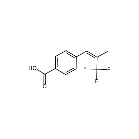 CC(=Cc1ccc(C(=O)O)cc1)C(F)(F)F